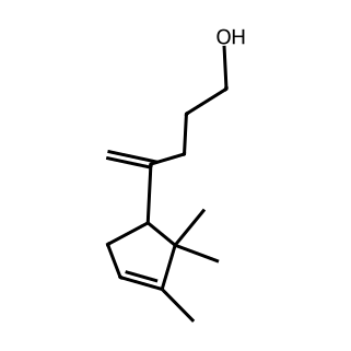 C=C(CCCO)C1CC=C(C)C1(C)C